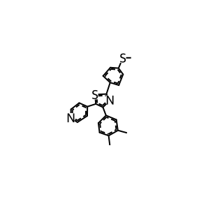 CSc1ccc(-c2nc(-c3ccc(C)c(C)c3)c(-c3ccncc3)s2)cc1